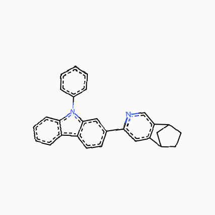 c1ccc(-n2c3ccccc3c3ccc(-c4cc5c(cn4)C4CCC5C4)cc32)cc1